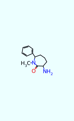 CN1C(=O)C(N)CCCC1c1ccccc1